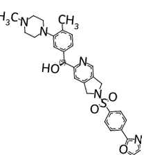 Cc1ccc([C@H](O)c2cc3c(cn2)CN(S(=O)(=O)c2ccc(-c4ncco4)cc2)C3)cc1N1CCN(C)CC1